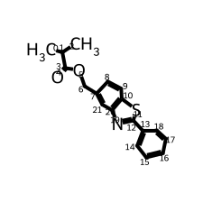 CC(C)C(=O)OCc1ccc2sc(-c3ccccc3)nc2c1